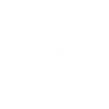 CC1=CC(C)OC(/C=C2/C3c4cc(C)cc(C)c4C4C=Cc5ccccc5N4C23C)O1